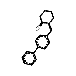 O=C1CCCC/C1=C/c1ccc(-c2ccccc2)cc1